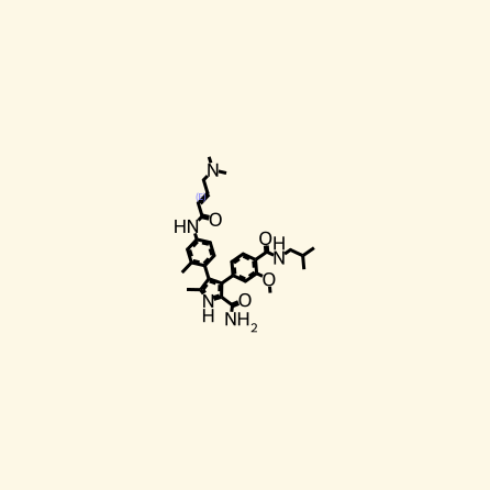 COc1cc(-c2c(C(N)=O)[nH]c(C)c2-c2ccc(NC(=O)/C=C/CN(C)C)cc2C)ccc1C(=O)NCC(C)C